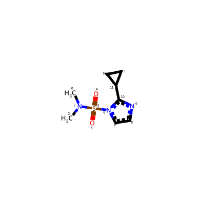 CN(C)S(=O)(=O)n1ccnc1C1CC1